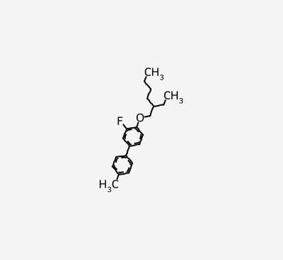 CCCCC(CC)COc1ccc(-c2ccc(C)cc2)cc1F